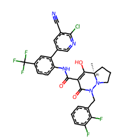 C[C@]12CCCN1N(Cc1cccc(F)c1F)C(=O)C(C(=O)Nc1ccc(C(F)(F)F)cc1-c1cnc(Cl)c(C#N)c1)=C2O